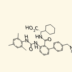 Cc1cc(C)c(NC(=O)Nc2cccc(-c3ccc(CN(C)C)cc3)c2C(=O)N[C@H](C(=O)O)C2CCCCC2)c(C)c1